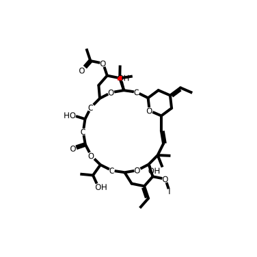 C/C=C1\CC2/C=C/C(C)(C)C3(O)OC(C/C(=C\C)C3OI)CC(C(C)O)OC(=O)CC(O)CC3CC(OC(C)=O)C(C)(C)C(O)(CC(C1)O2)O3